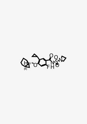 O=C(NS(=O)(=O)N1CCC1)c1cc(C2CC2)c(OC[C@@]23CCCC[C@@H]2C3)cc1F